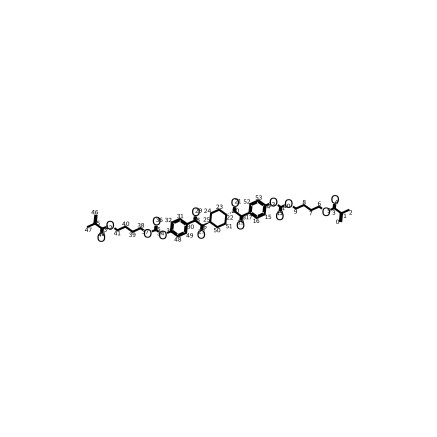 C=C(C)C(=O)OCCCCOC(=O)Oc1ccc(C(=O)C(=O)[C@H]2CC[C@H](C(=O)C(=O)c3ccc(OC(=O)OCCCCOC(=O)C(=C)C)cc3)CC2)cc1